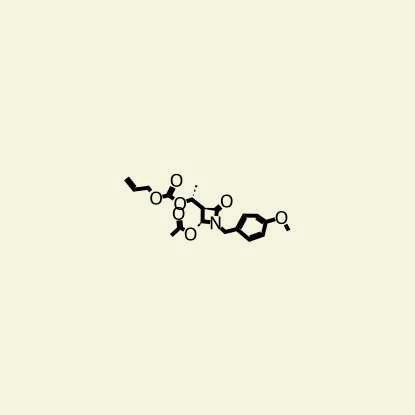 C=CCOC(=O)O[C@H](C)[C@H]1C(=O)N(Cc2ccc(OC)cc2)[C@@H]1OC(C)=O